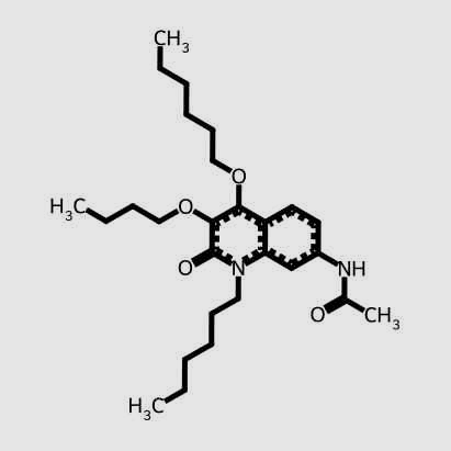 CCCCCCOc1c(OCCCC)c(=O)n(CCCCCC)c2cc(NC(C)=O)ccc12